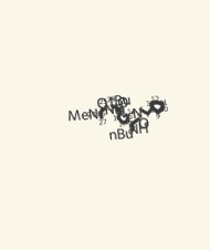 CCCCNCC(=O)N(CCc1ccccc1)C[C@@H]1CCCN1C(=O)[C@@H](NC(=O)[C@H](C)NC)C(C)(C)C